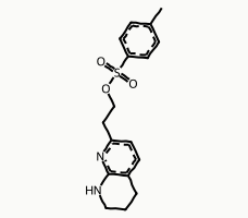 Cc1ccc(S(=O)(=O)OCCc2ccc3c(n2)NCCC3)cc1